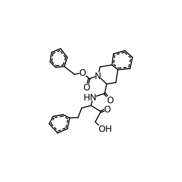 O=C(CO)C(CCc1ccccc1)NC(=O)C1Cc2ccccc2CN1C(=O)OCc1ccccc1